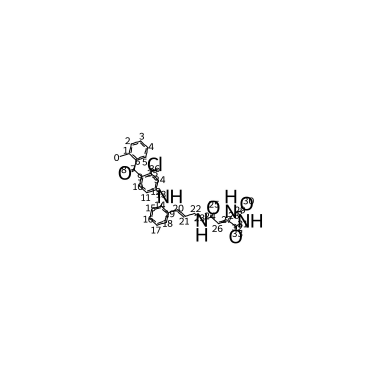 Cc1ccccc1C(=O)c1ccc(Nc2ccccc2/C=C/CNC(=O)C=C2NC(=O)NC2=O)cc1Cl